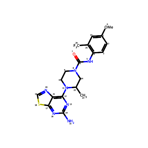 COc1ccc(NC(=O)N2CCN(c3nc(N)nc4scnc34)C(C)C2)c(C(F)(F)F)c1